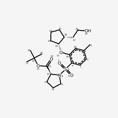 Cc1ccc(S(=O)(=O)N2CCC[C@H]2C(=O)OC(C)(C)C)c(O[C@@H]2CCC[C@@H]2CCO)c1